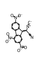 [C-]#[N+]/C(C#N)=C1\c2cc([N+](=O)[O-])ccc2-c2c1cc([N+](=O)[O-])cc2[N+](=O)[O-]